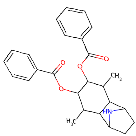 CC1C(OC(=O)c2ccccc2)C(OC(=O)c2ccccc2)C(C)C2C3CCC(N3)C12